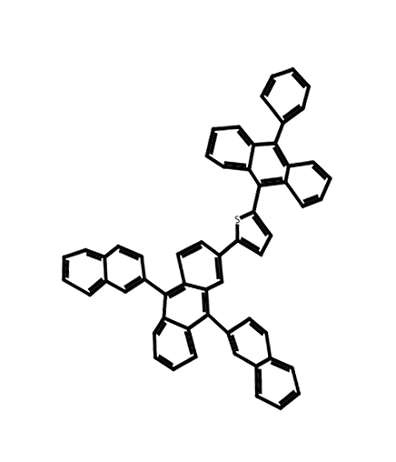 c1ccc(-c2c3ccccc3c(-c3ccc(-c4ccc5c(-c6ccc7ccccc7c6)c6ccccc6c(-c6ccc7ccccc7c6)c5c4)s3)c3ccccc23)cc1